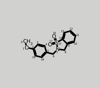 COc1ccc(CN2Cc3ccccc3S2(=O)=O)cc1